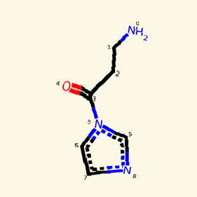 NCCC(=O)n1ccnc1